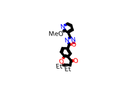 CCC1(CC)CC(=O)c2cc(-c3nc(-c4cccnc4OC)no3)ccc2O1